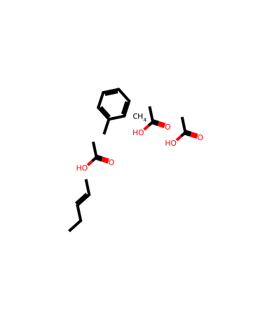 C.CC(=O)O.CC(=O)O.CC(=O)O.CC=CCC.Cc1ccccc1